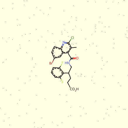 Cc1c(Cl)nc2ccc(Br)cc2c1C(=O)NCC(CCC(=O)O)c1c(F)cccc1F